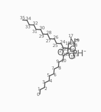 CCCCCCCCCCCCC(=O)C(C[N+](C)(C)C)(O[PH-])C(=O)CCCCCCCCCCCC